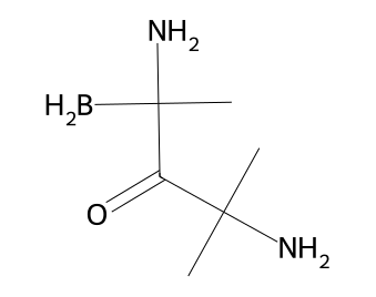 BC(C)(N)C(=O)C(C)(C)N